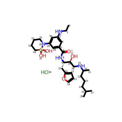 CCNc1cc(C(=O)N[C@@H](Cc2ccco2)[C@@H](O)CNC(C)CCCC(C)C)cc(N2CCCCS2(O)O)c1.Cl